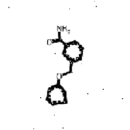 NC(=O)c1cccc([CH]Oc2ccccc2)c1